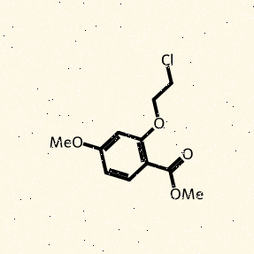 COC(=O)c1ccc(OC)cc1OCCCl